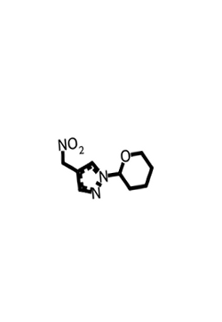 O=[N+]([O-])Cc1cnn(C2CCCCO2)c1